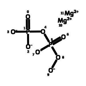 O=P([O-])([O-])OP(=O)([O-])O[O-].[Mg+2].[Mg+2]